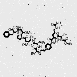 CC[C@H](C)[C@@H]([C@@H](CC(=O)N1CCC[C@H]1[C@H](OC)[C@@H](C)C(=O)N[C@@H](Cc1ccccc1)C(=O)OC)OC)N(C)C(=O)[C@H](CC(C)C)NC(=O)[C@H](C(C)C)N(C)CCc1ccc(N(C)C(=O)C(CCCNC(N)=O)NC(=O)[C@@H](NC(=O)OC(C)(C)C)C(C)C)cc1